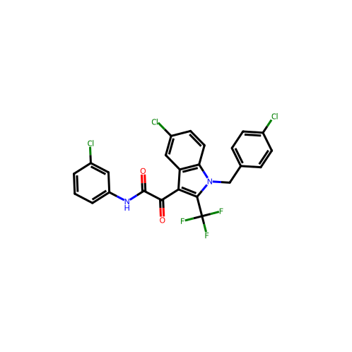 O=C(Nc1cccc(Cl)c1)C(=O)c1c(C(F)(F)F)n(Cc2ccc(Cl)cc2)c2ccc(Cl)cc12